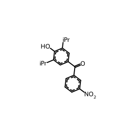 CC(C)c1cc(C(=O)c2cccc([N+](=O)[O-])c2)cc(C(C)C)c1O